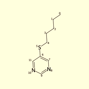 CCCCCSc1cncnc1